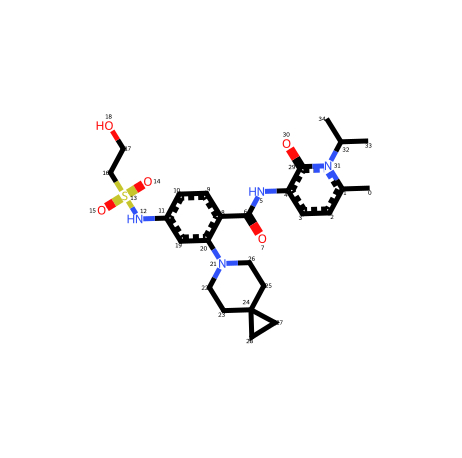 Cc1ccc(NC(=O)c2ccc(NS(=O)(=O)CCO)cc2N2CCC3(CC2)CC3)c(=O)n1C(C)C